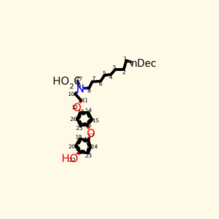 CCCCCCCCCCCCCCCCCCN(CCOc1ccc(Oc2ccc(O)cc2)cc1)C(=O)O